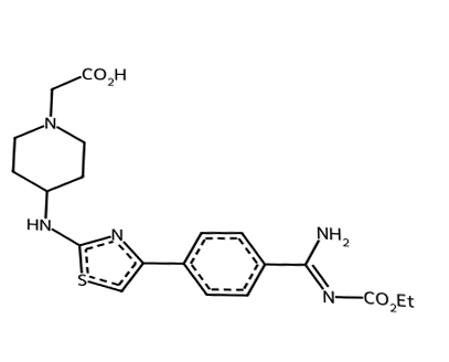 CCOC(=O)/N=C(\N)c1ccc(-c2csc(NC3CCN(CC(=O)O)CC3)n2)cc1